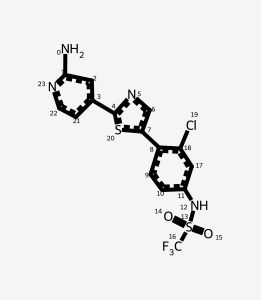 Nc1cc(-c2ncc(-c3ccc(NS(=O)(=O)C(F)(F)F)cc3Cl)s2)ccn1